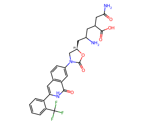 NC(=O)CC(CC(N)C[C@@H]1CN(c2ccc3cc(-c4ccccc4C(F)(F)F)[nH]c(=O)c3c2)C(=O)O1)C(=O)O